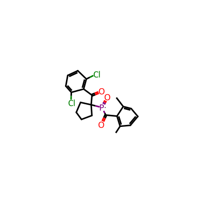 Cc1cccc(C)c1C(=O)[P](=O)C1(C(=O)c2c(Cl)cccc2Cl)CCCC1